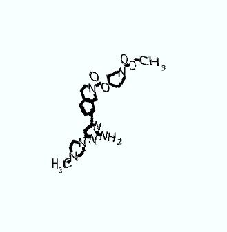 CCOC(=O)N1CCC(OC(=O)N2CCc3ccc(-c4cc(N5CCN(C)CC5)nc(N)n4)cc3C2)CC1